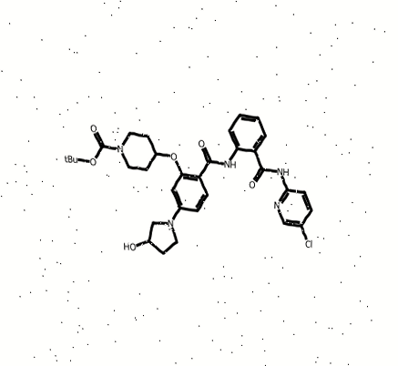 CC(C)(C)OC(=O)N1CCC(Oc2cc(N3CCC(O)C3)ccc2C(=O)Nc2ccccc2C(=O)Nc2ccc(Cl)cn2)CC1